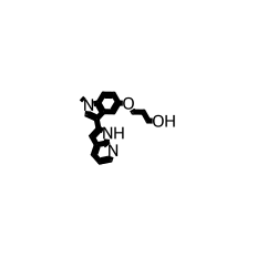 Cn1cc(-c2cc3cccnc3[nH]2)c2cc(OCCCO)ccc21